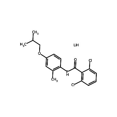 Cc1cc(OCC(C)C)ccc1PC(=O)c1c(Cl)cccc1Cl.[LiH]